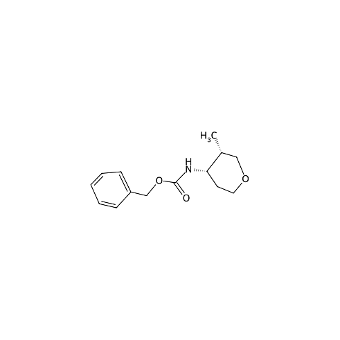 C[C@@H]1COCC[C@@H]1NC(=O)OCc1ccccc1